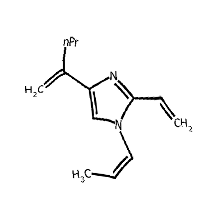 C=Cc1nc(C(=C)CCC)cn1/C=C\C